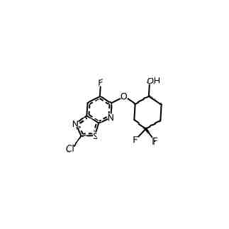 OC1CCC(F)(F)CC1Oc1nc2sc(Cl)nc2cc1F